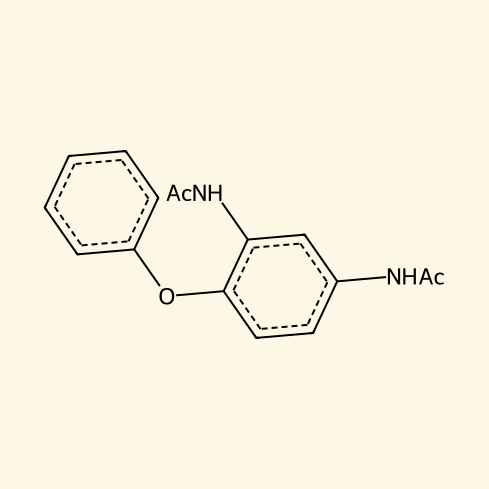 CC(=O)Nc1ccc(Oc2ccccc2)c(NC(C)=O)c1